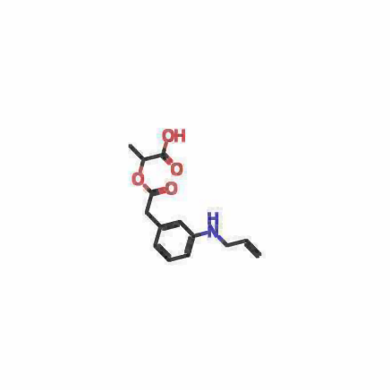 C=CCNc1cccc(CC(=O)OC(C)C(=O)O)c1